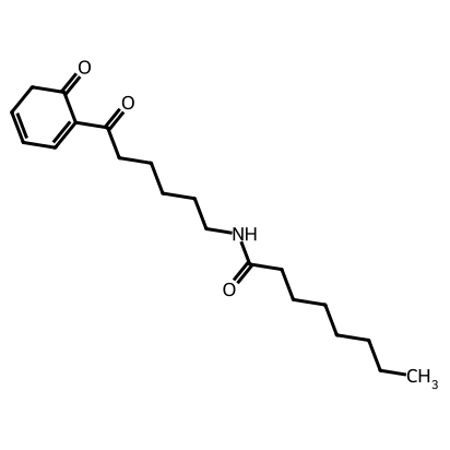 CCCCCCCC(=O)NCCCCCC(=O)C1=CC=CCC1=O